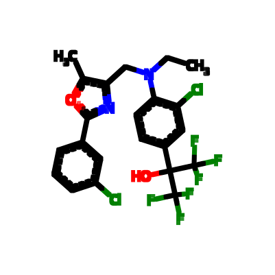 CCN(Cc1nc(-c2cccc(Cl)c2)oc1C)c1ccc(C(O)(C(F)(F)F)C(F)(F)F)cc1Cl